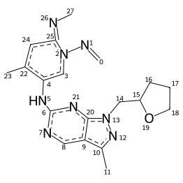 C=Nn1cc(Nc2ncc3c(C)nn(CC4CCCO4)c3n2)c(C)c/c1=N/C